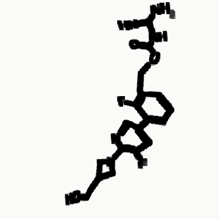 N=C(N)NC(=O)OCc1cccc(-c2cnc(N3CC(CO)C3)c(F)c2)c1F